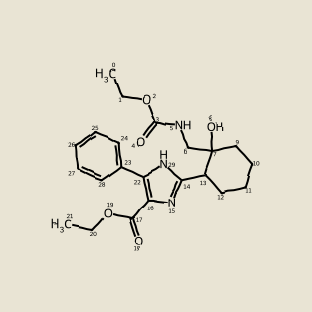 CCOC(=O)NCC1(O)CCCCC1c1nc(C(=O)OCC)c(-c2ccccc2)[nH]1